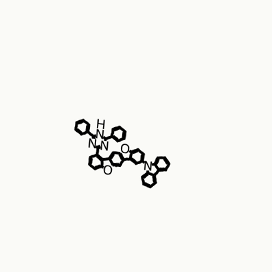 c1ccc(C2=NC(c3cccc4oc5cc6c(cc5c34)oc3ccc(-n4c5ccccc5c5ccccc54)cc36)=NC(c3ccccc3)N2)cc1